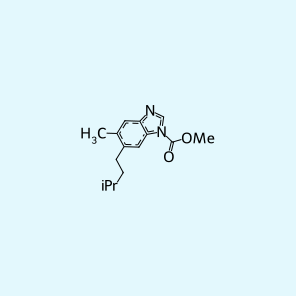 COC(=O)n1cnc2cc(C)c(CCC(C)C)cc21